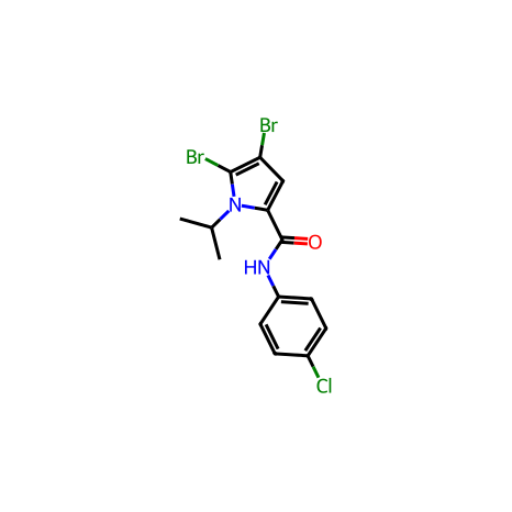 CC(C)n1c(C(=O)Nc2ccc(Cl)cc2)cc(Br)c1Br